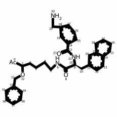 CC(=O)C(CCCCNC(=O)[C@H](Cc1ccc2ccccc2c1)NC(=O)c1cccc(CN)c1)OCc1ccccc1